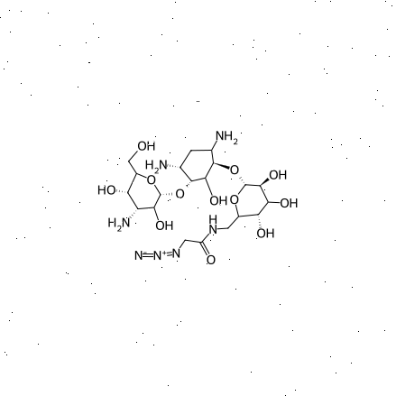 [N-]=[N+]=NCC(=O)NCC1O[C@H](O[C@@H]2C(N)C[C@@H](N)[C@@H](O[C@H]3OC(CO)[C@@H](O)[C@@H](N)C3O)C2O)[C@@H](O)C(O)[C@@H]1O